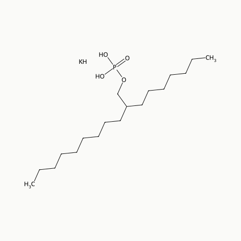 CCCCCCCCCC(CCCCCCC)COP(=O)(O)O.[KH]